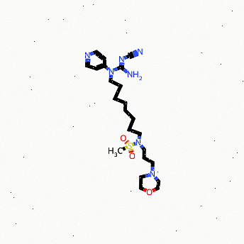 CS(=O)(=O)N(CCCCCCCCN(C(N)=NC#N)c1ccncc1)CCCN1CCOCC1